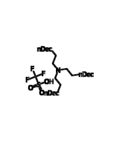 CCCCCCCCCCCCN(CCCCCCCCCCCC)CCCCCCCCCCCC.O=S(=O)(O)C(F)(F)F